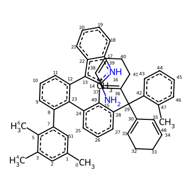 Cc1cc(C)c(C)c(-c2cccc(-c3c(N)[nH]c4ccccc34)c2-c2cccc(C(C3=CCCC=C3)(C3=CC=CCC3)c3ccccc3C)c2C)c1